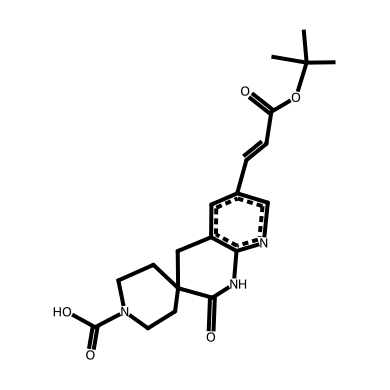 CC(C)(C)OC(=O)/C=C/c1cnc2c(c1)CC1(CCN(C(=O)O)CC1)C(=O)N2